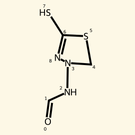 O=CNN1CSC(S)=N1